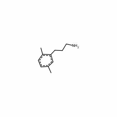 Cc1ccc(C)c(CCCN)c1